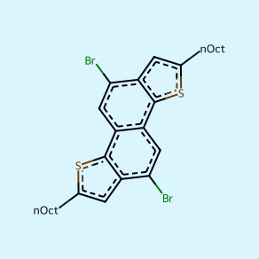 CCCCCCCCc1cc2c(Br)cc3c(cc(Br)c4cc(CCCCCCCC)sc43)c2s1